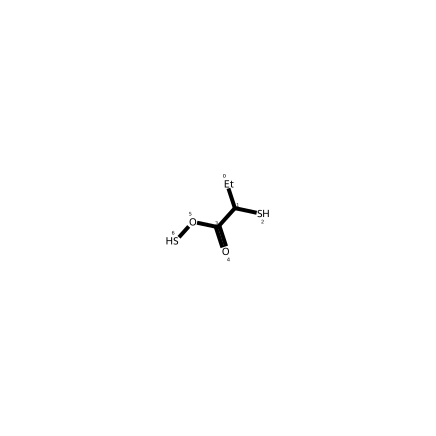 CCC(S)C(=O)OS